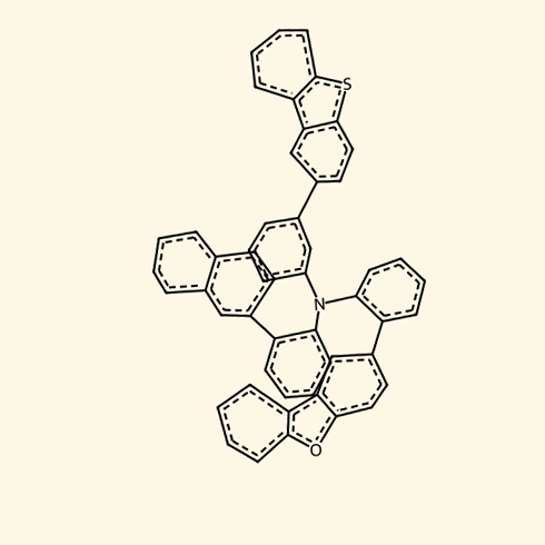 c1cc(-c2ccc3sc4ccccc4c3c2)cc(N(c2ccccc2-c2ccc3ccccc3c2)c2ccccc2-c2ccc3oc4ccccc4c3c2)c1